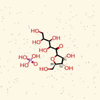 O=C(C(O)C(O)C(O)CO)C1O[C@H](CO)[C@@H](O)[C@H]1O.O=P(O)(O)O